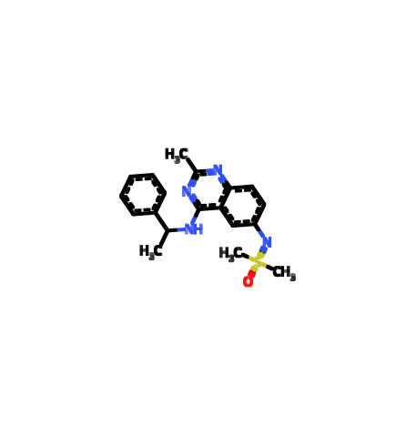 Cc1nc(NC(C)c2ccccc2)c2cc(N=S(C)(C)=O)ccc2n1